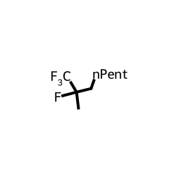 CCCCCCC(C)(F)C(F)(F)F